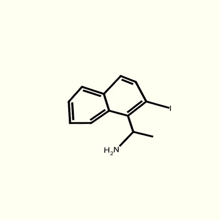 CC(N)c1c(I)ccc2ccccc12